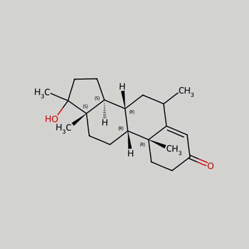 CC1C[C@@H]2[C@@H](CC[C@@]3(C)[C@H]2CCC3(C)O)[C@@]2(C)CCC(=O)C=C12